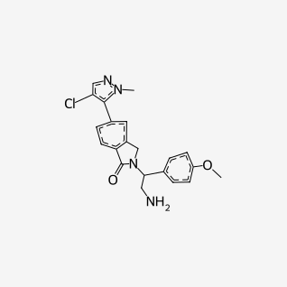 COc1ccc(C(CN)N2Cc3cc(-c4c(Cl)cnn4C)ccc3C2=O)cc1